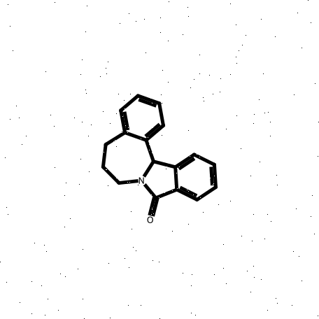 O=C1c2ccccc2C2c3c[c]ccc3CCCN12